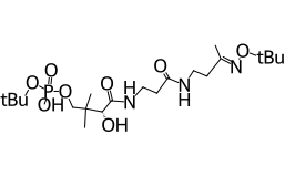 C/C(CCNC(=O)CCNC(=O)[C@H](O)C(C)(C)COP(=O)(O)OC(C)(C)C)=N\OC(C)(C)C